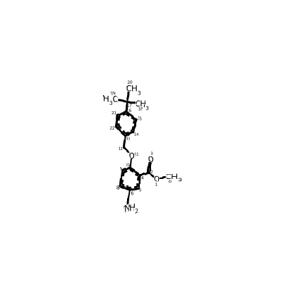 COC(=O)c1cc(N)ccc1OCc1ccc(C(C)(C)C)cc1